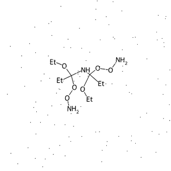 CCOC(CC)(NC(CC)(OCC)OON)OON